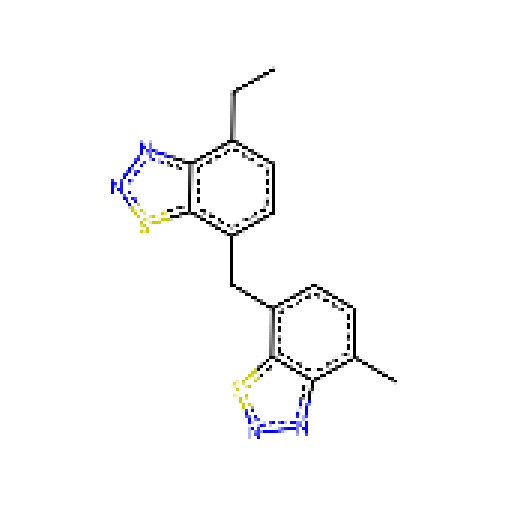 CCc1ccc(Cc2ccc(C)c3nnsc23)c2snnc12